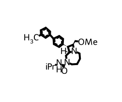 COC[C@@H]1[C@@H](c2ccc(-c3cccc(C)c3)cc2)[C@@H]2CN(C(=O)NC(C)C)CCCCN12